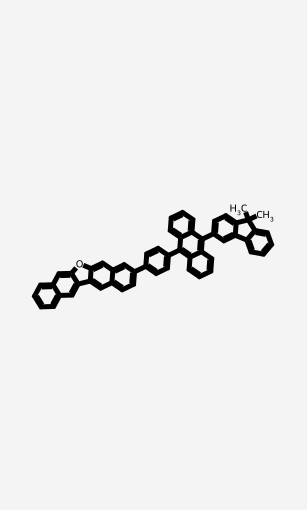 CC1(C)c2ccccc2-c2cc(-c3c4ccccc4c(-c4ccc(-c5ccc6cc7c(cc6c5)oc5cc6ccccc6cc57)cc4)c4ccccc34)ccc21